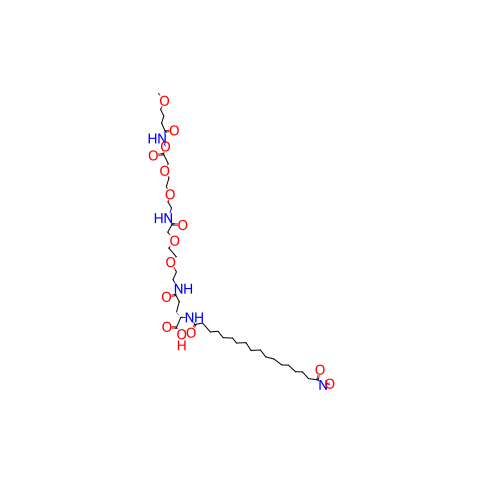 COCCCC(=O)NOC(=O)COCCOCCNC(=O)COCCOCCNC(=O)CC[C@H](NC(=O)CCCCCCCCCCCCCCCCC(=O)N=O)C(=O)O